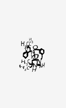 CCC1(CC)CC(=O)N(Cc2cccc(C(=O)NC3CC(C)(C)Oc4ccccc43)c2)C(=N)N1